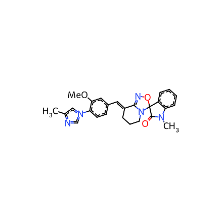 COc1cc(C=C2CCCN3C2=NOC32C(=O)N(C)c3ccccc32)ccc1-n1cnc(C)c1